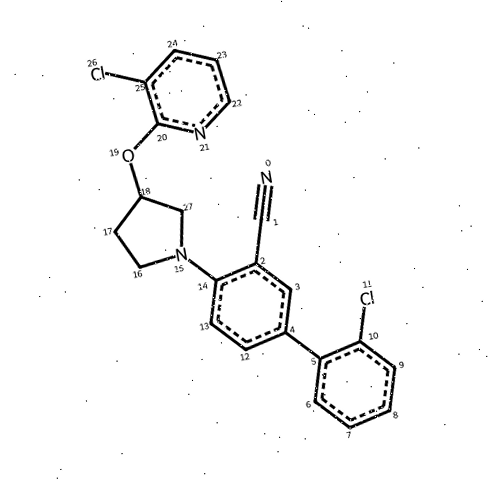 N#Cc1cc(-c2ccccc2Cl)ccc1N1CCC(Oc2ncccc2Cl)C1